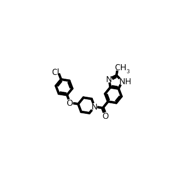 Cc1nc2cc(C(=O)N3CCC(Oc4ccc(Cl)cc4)CC3)ccc2[nH]1